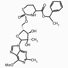 COc1nc(C)nc2c1ncn2C1O[C@H](COP2(=O)NC(C(=O)OC(C)c3ccccc3)CCS2)[C@@H](O)[C@@]1(C)O